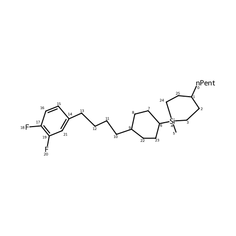 CCCCCC1CC[Si](C)(C2CCC(CCCCc3ccc(F)c(F)c3)CC2)CC1